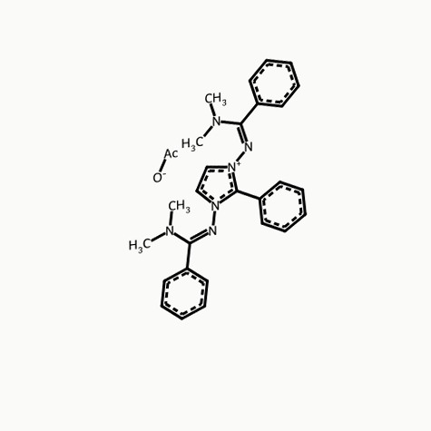 CC(=O)[O-].CN(C)C(=Nn1cc[n+](N=C(c2ccccc2)N(C)C)c1-c1ccccc1)c1ccccc1